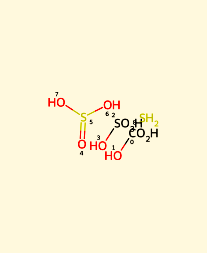 O=C(O)O.O=S(=O)(O)O.O=S(O)O.S